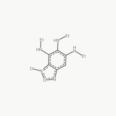 CCNc1cc2no[n+]([O-])c2c(NCC)c1NCC